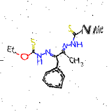 CCOC(=S)N/N=C(/C(C)=N/NC(=S)NC)c1ccccc1